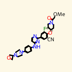 COCC(=O)N1CC[C@H](Oc2ccc(-c3nccc(Nc4ccc(N5CCN(C6COC6)CC5)cc4)n3)cc2C#N)[C@H](F)C1